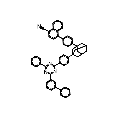 N#Cc1ccc(-c2ccc(C34CC5CC(CC(c6ccc(-c7nc(-c8ccccc8)nc(-c8cccc(-c9ccccc9)c8)n7)cc6)(C5)C3)C4)cc2)c2ccccc12